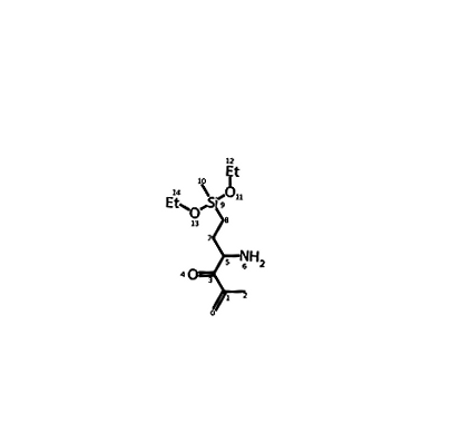 C=C(C)C(=O)C(N)CC[Si](C)(OCC)OCC